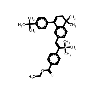 CCOC(=O)c1ccc(/C(=C/c2ccc3c(c2)C(c2ccc(C(C)(C)C)cc2)=CCC3(C)C)[Si](C)(C)C)cc1